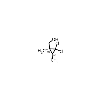 C[C@@H]1C(Cl)(Cl)[C@]1(C)CO